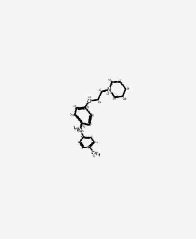 Oc1ccc(Nc2ccc(OCCN3CCCCC3)cc2)cc1